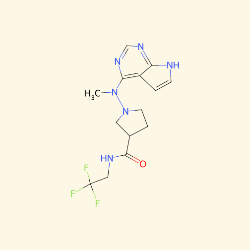 CN(c1ncnc2[nH]ccc12)N1CCC(C(=O)NCC(F)(F)F)C1